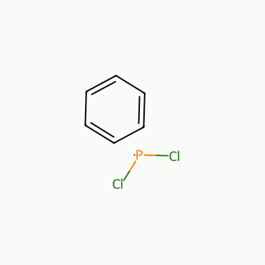 Cl[P]Cl.c1ccccc1